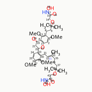 COc1cc2c(c(OC)c1CCC(C)(C)OCC(=O)NO)C(=O)CC(c1ccc(OC)c(OC)c1C/C=C(\C)CCCC(C)(C)OCC(=O)NO)O2